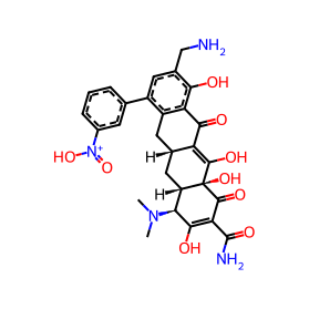 CN(C)[C@@H]1C(O)=C(C(N)=O)C(=O)[C@@]2(O)C(O)=C3C(=O)c4c(O)c(CN)cc(-c5cccc([N+](=O)O)c5)c4C[C@H]3C[C@@H]12